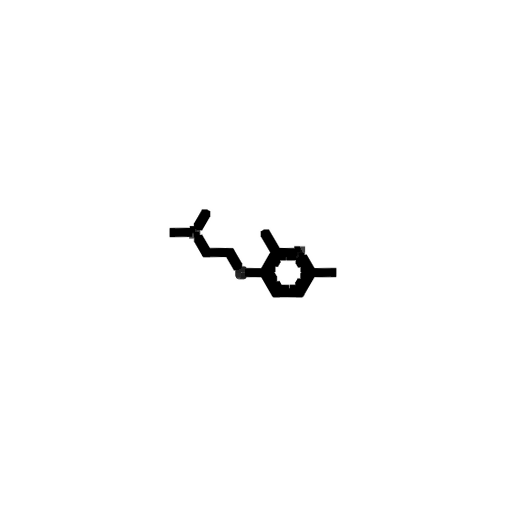 Cc1ccc(OCCN(C)C)c(C)n1